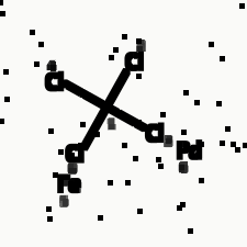 ClC(Cl)(Cl)Cl.[Fe].[Pd]